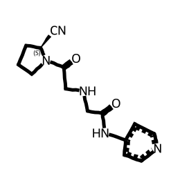 N#C[C@@H]1CCCN1C(=O)CNCC(=O)Nc1ccncc1